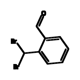 O=Cc1ccccc1C(Br)Br